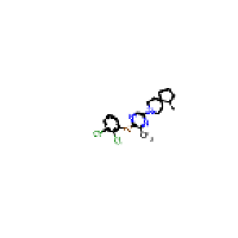 C[C@@H]1CCCC12CCN(c1cnc(Sc3cccc(Cl)c3Cl)c(C(F)(F)F)n1)CC2